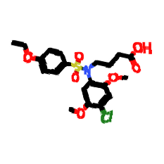 CCOc1ccc(S(=O)(=O)N(CCCC(=O)O)c2cc(OC)c(Cl)cc2OC)cc1